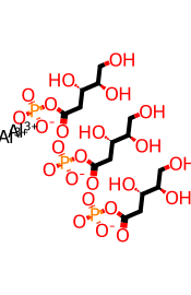 O=C(C[C@H](O)[C@H](O)CO)OP(=O)([O-])[O-].O=C(C[C@H](O)[C@H](O)CO)OP(=O)([O-])[O-].O=C(C[C@H](O)[C@H](O)CO)OP(=O)([O-])[O-].[Al+3].[Al+3]